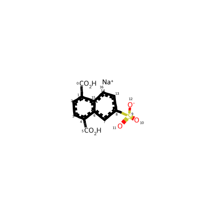 O=C(O)c1ccc(C(=O)O)c2cc(S(=O)(=O)[O-])ccc12.[Na+]